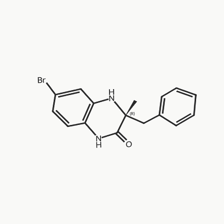 C[C@]1(Cc2ccccc2)Nc2cc(Br)ccc2NC1=O